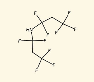 FC(F)(F)CC(F)(F)NC(F)(F)CC(F)(F)F